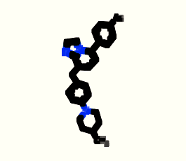 CC(=O)c1ccc(-c2ccc(Cc3ccc(N4CCC(C)CC4)cc3)c3nccn23)cc1